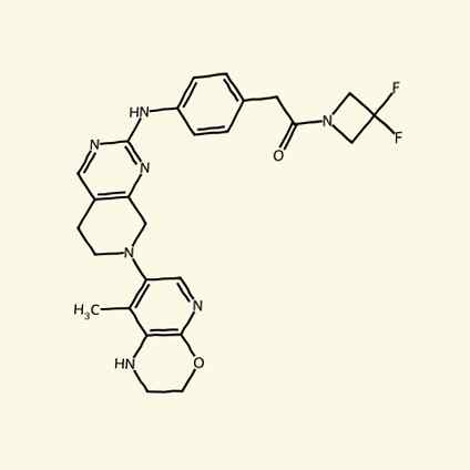 Cc1c(N2CCc3cnc(Nc4ccc(CC(=O)N5CC(F)(F)C5)cc4)nc3C2)cnc2c1NCCO2